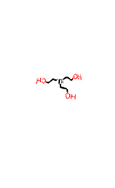 OC[CH2][Ti]([CH2]CO)[CH2]CO